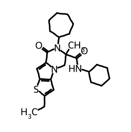 CCc1cc2c(cc3n2CC(C)(C(=O)NC2CCCCC2)N(C2CCCCCC2)C3=O)s1